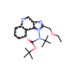 CCOCc1nc2cnc3ccccc3c2n1N(C(=O)OC(C)(C)C)C(C)(C)C